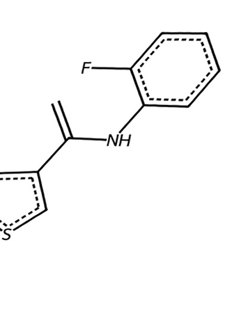 C=C(Nc1ccccc1F)c1cscn1